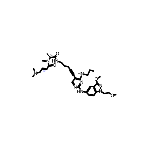 CCCNc1nc(Nc2ccc3c(c2)c(OC)nn3CCOC)ncc1C#CCCCNC(=O)[C@H](C)N(C)C(=O)/C=C/CN(C)C